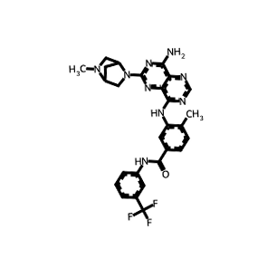 Cc1ccc(C(=O)Nc2cccc(C(F)(F)F)c2)cc1Nc1ncnc2c(N)nc(N3CC4CC3CN4C)nc12